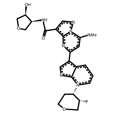 CNc1cc(-c2cnc3n([C@H]4CCOC[C@H]4F)cccc2-3)nc2c(C(=O)N[C@H]3COC[C@H]3O)cnn12